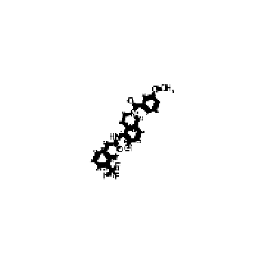 COc1cccc(C(=O)N2CCc3c(ccc(Cl)c3NC(=O)Cc3cccc(C(F)(F)F)c3F)C2)c1